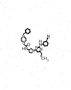 CCCc1cc(N2CCC(NC(=O)CN3CCN(Cc4ccccc4)CC3)C2)nc(Nc2cccc(C#N)c2)n1